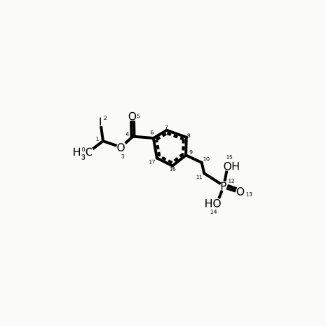 CC(I)OC(=O)c1ccc(CCP(=O)(O)O)cc1